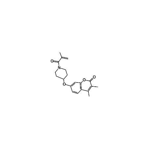 C=C(C)C(=O)N1CCC(Oc2ccc3c(C)c(C)c(=O)oc3c2)CC1